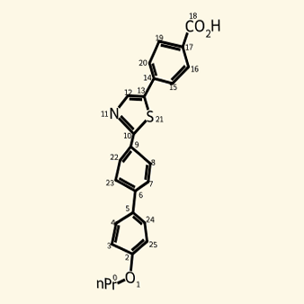 CCCOc1ccc(-c2ccc(-c3ncc(-c4ccc(C(=O)O)cc4)s3)cc2)cc1